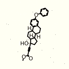 COC(=O)C#C[C@]1(O)CC[C@H]2[C@@H]3CCc4cc(Oc5ccccc5)ccc4[C@H]3CC[C@@]21C